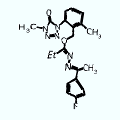 CC/C(=N\N=C(C)c1ccc(F)cc1)OCc1c(C)cccc1-n1nnn(C)c1=O